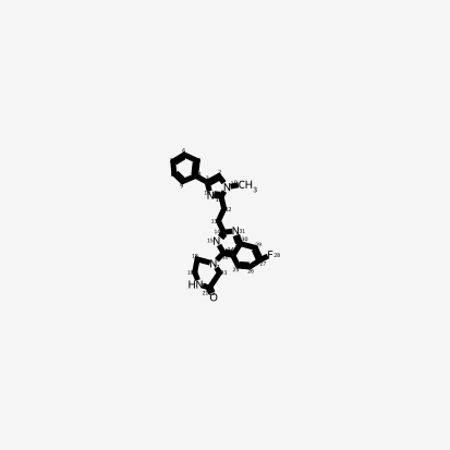 Cn1cc(-c2ccccc2)nc1CCc1nc(N2CCNC(=O)C2)c2ccc(F)cc2n1